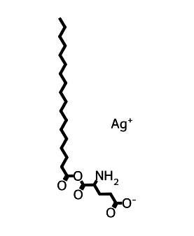 CCCCCCCCCCCCCCCCCC(=O)OC(=O)C(N)CCC(=O)[O-].[Ag+]